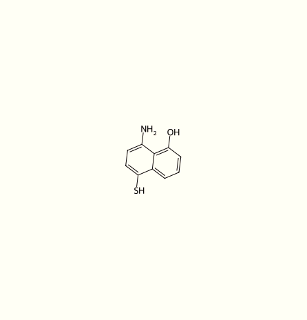 Nc1ccc(S)c2cccc(O)c12